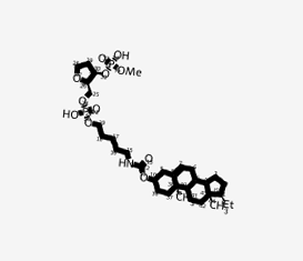 CC[C@H]1CCC2C3CC=C4CC(OC(=O)NCCCCCOP(=O)(O)OC[C@H]5OCC[C@H]5OP(=O)(O)OC)CC[C@]4(C)C3CC[C@@]21C